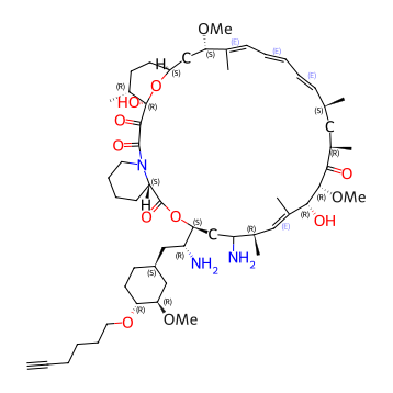 C#CCCCCO[C@@H]1CC[C@@H](C[C@@H](N)[C@@H]2CC(N)[C@H](C)/C=C(\C)[C@@H](O)[C@@H](OC)C(=O)[C@H](C)C[C@H](C)/C=C/C=C/C=C(\C)[C@@H](OC)C[C@@H]3CC[C@@H](C)[C@@](O)(O3)C(=O)C(=O)N3CCCC[C@H]3C(=O)O2)C[C@H]1OC